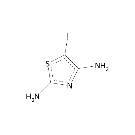 Nc1nc(N)c(I)s1